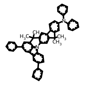 CC1(C)c2cc(N(c3ccccc3)c3ccccc3)ccc2-c2cc3c(cc21)-n1c2ccc(-c4ccccc4)cc2c2cc(-c4ccccc4)cc(c21)C3(C)C